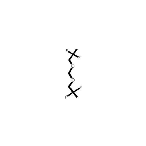 CC(F)(F)COCOCC(C)(F)F